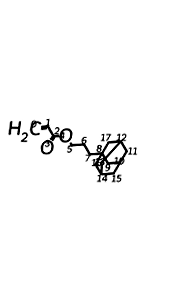 C=CC(=O)OCCCC12CC3CC(CC(C3)C1)C2